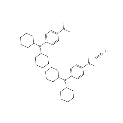 C=O.CN(C)c1ccc(P(C2CCCCC2)C2CCCCC2)cc1.CN(C)c1ccc(P(C2CCCCC2)C2CCCCC2)cc1.[Ir]